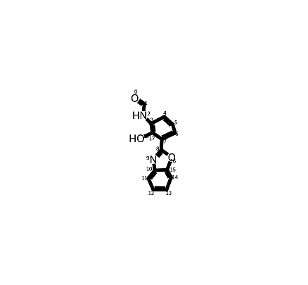 O=CNc1cccc(-c2nc3ccccc3o2)c1O